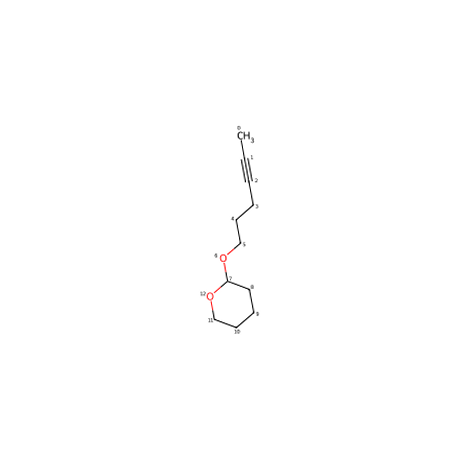 CC#CCCCOC1CCCCO1